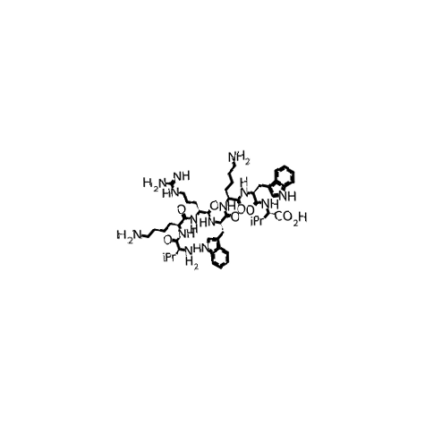 CC(C)[C@H](N)C(=O)N[C@@H](CCCCN)C(=O)N[C@@H](CCCNC(=N)N)C(=O)N[C@@H](Cc1c[nH]c2ccccc12)C(=O)N[C@@H](CCCCN)C(=O)N[C@@H](Cc1c[nH]c2ccccc12)C(=O)N[C@H](C(=O)O)C(C)C